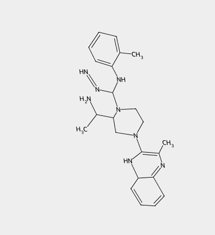 CC1=C(N2CCN(C(N=N)Nc3ccccc3C)C(C(C)N)C2)NC2C=CC=CC2=N1